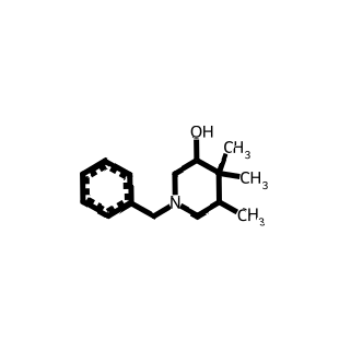 CC1CN(Cc2ccccc2)CC(O)C1(C)C